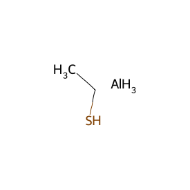 CCS.[AlH3]